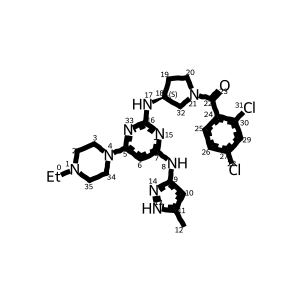 CCN1CCN(c2cc(Nc3cc(C)[nH]n3)nc(N[C@H]3CCN(C(=O)c4ccc(Cl)cc4Cl)C3)n2)CC1